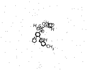 Cc1ccc2cc(-c3cc(S(=O)(=O)N(C)CC(=O)N4C[C@H]5C[C@@H]4CO5)ccc3N3CCCC3)[nH]c2c1